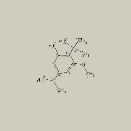 COc1cc(C(C)C)cc(C)c1C(C)(C)C